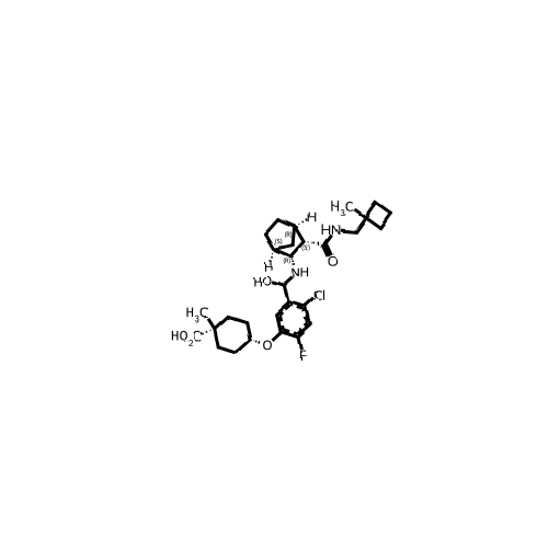 CC1(CNC(=O)[C@H]2[C@@H]3CC[C@@H](C3)[C@H]2NC(O)c2cc(O[C@H]3CC[C@@](C)(C(=O)O)CC3)c(F)cc2Cl)CCC1